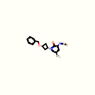 O=c1c(N=C=S)cc(C(F)(F)F)cn1[C@H]1C[C@@H](OCc2ccccc2)C1